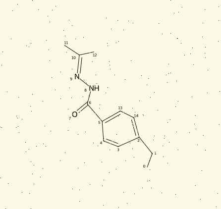 CCc1ccc(C(=O)NN=C(C)C)cc1